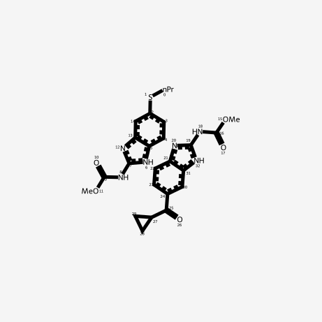 CCCSc1ccc2[nH]c(NC(=O)OC)nc2c1.COC(=O)Nc1nc2ccc(C(=O)C3CC3)cc2[nH]1